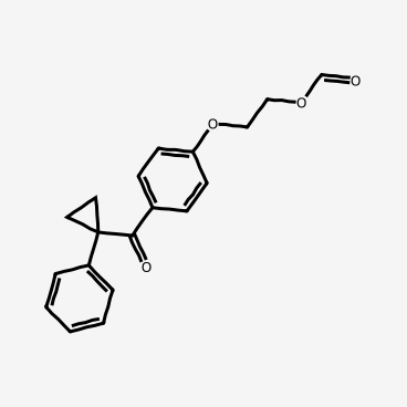 O=COCCOc1ccc(C(=O)C2(c3ccccc3)CC2)cc1